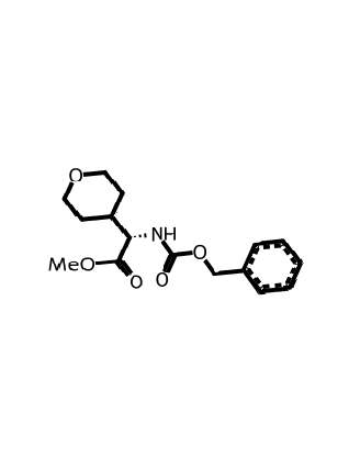 COC(=O)[C@@H](NC(=O)OCc1ccccc1)C1CCOCC1